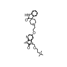 Cn1c(=O)n(COCC[Si](C)(C)C)c2cc(OCCN3CCC4(CC3)C(=O)Nc3ccccc34)cnc21